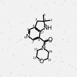 CC1(C)Cc2cncc(C(=O)N3CCOCC3)c2N1